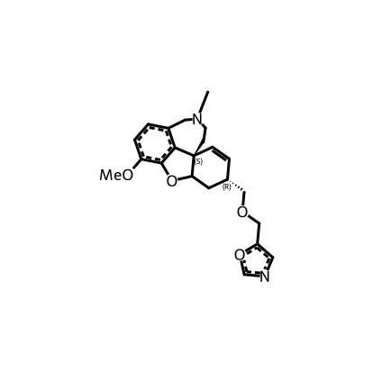 COc1ccc2c3c1OC1C[C@@H](COCc4cnco4)C=C[C@@]31CCN(C)C2